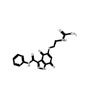 CC(=O)NCCSC1=CC(=O)c2[nH]nc(C(=O)Nc3ccccc3)c2C1=O